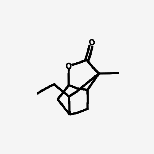 CCC1C2CC3OC(=O)C1(C)C3C2